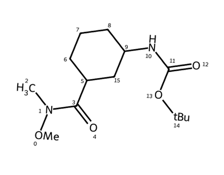 CON(C)C(=O)C1CCCC(NC(=O)OC(C)(C)C)C1